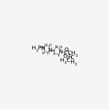 CC(C)(C)OC(=O)N1CCC(N2CCN(P)CC2)CC1